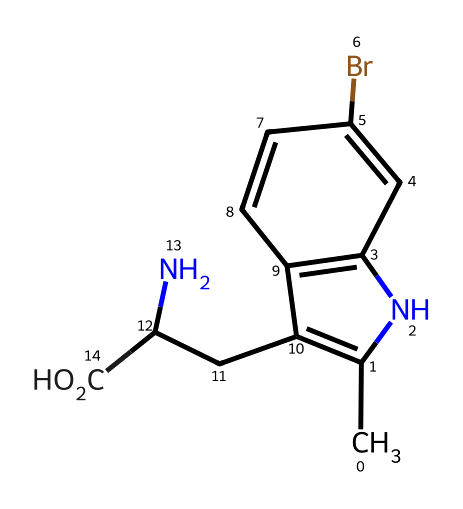 Cc1[nH]c2cc(Br)ccc2c1CC(N)C(=O)O